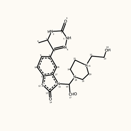 CC1NC(=O)NN=C1c1ccc2sc(=O)n(C(C=O)N3CCN(CCO)CC3)c2c1